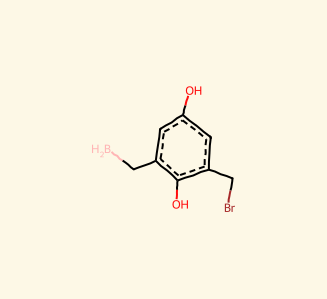 BCc1cc(O)cc(CBr)c1O